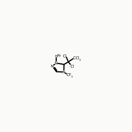 CCCN1N=CN(C(F)(F)F)C1C(Cl)(Cl)C(Cl)(Cl)Cl